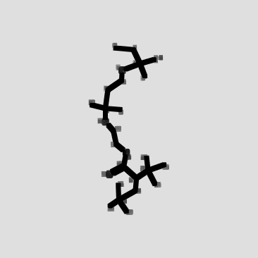 CCC(C)(I)OCCC(C)(C)OCCOC(=O)C(CC(C)(C)C)C(C)(C)C